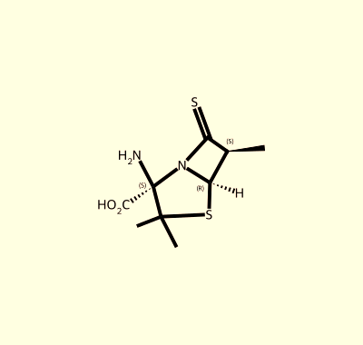 C[C@@H]1C(=S)N2[C@@H]1SC(C)(C)[C@]2(N)C(=O)O